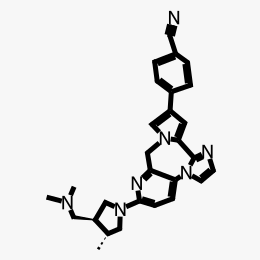 C[C@H]1CN(c2ccc3c(n2)Cn2cc(-c4ccc(C#N)cc4)cc2-c2nccn2-3)C[C@@H]1CN(C)C